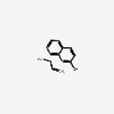 C=CCCCCCCCCCC.Oc1ccc2ccccc2n1